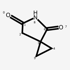 O=C1CC2(CC2)C(=O)N1